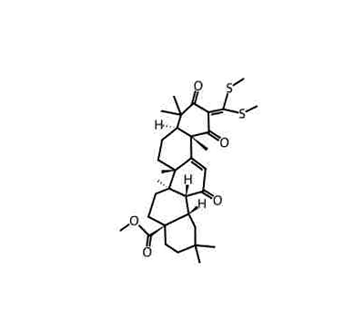 COC(=O)[C@]12CCC(C)(C)C[C@H]1[C@H]1C(=O)C=C3[C@@]4(C)C(=O)C(=C(SC)SC)C(=O)C(C)(C)[C@@H]4CC[C@@]3(C)[C@]1(C)CC2